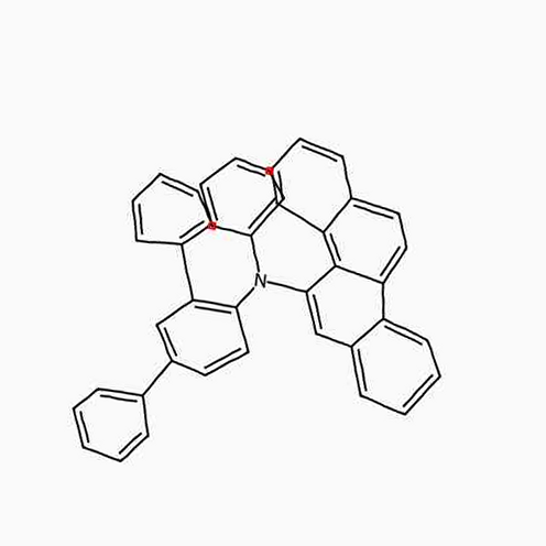 c1ccc(-c2ccc(N(c3ccccc3)c3cc4ccccc4c4ccc5ccccc5c34)c(-c3ccccc3)c2)cc1